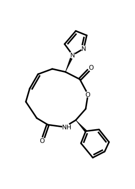 O=C1CCC=CC[C@@H](n2cccn2)C(=O)OC[C@@H](c2ccccc2)N1